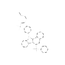 C=C/C=C\C1=C(C)C(C)(C)c2cc(-n3c4ccccc4c4c5c(c6ccccc6c43)-c3ccccc3C5(C)C)ccc21